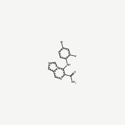 NC(=O)c1ncc2cncn2c1Nc1ccc(Br)cc1F